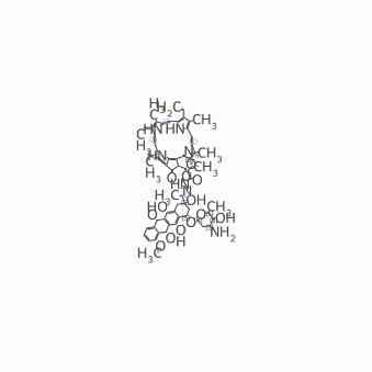 C=Cc1c2[nH]c(c1C)/C=C1\N=C(C3=C4NC(/C=c5\[nH]/c(c(C)c5CC)=C\2)C(C)=C4C(=O)C3C(=O)OC)[C@@H](CCC(=O)N/N=C(\C)[C@]2(O)Cc3c(O)c4c(c(O)c3[C@@H](O[C@H]3C[C@H](N)[C@H](O)[C@H](C)O3)C2)C(=O)c2c(OC)cccc2C4=O)[C@@H]1C